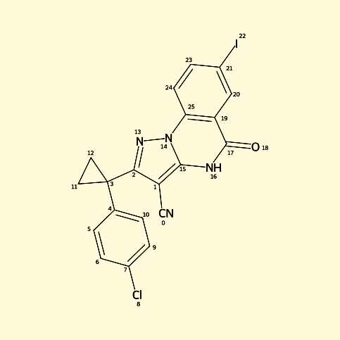 N#Cc1c(C2(c3ccc(Cl)cc3)CC2)nn2c1[nH]c(=O)c1cc(I)ccc12